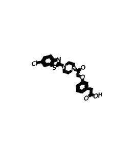 O=C(O)Cc1cccc(OCC(=O)N2CCN(c3nc4ccc(Cl)cc4s3)CC2)c1